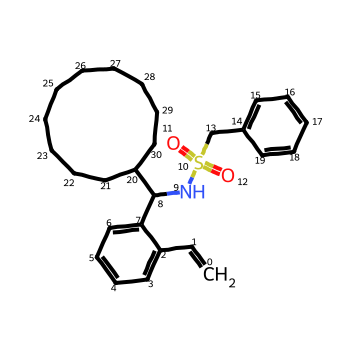 C=Cc1ccccc1C(NS(=O)(=O)Cc1ccccc1)C1CCCCCCCCCC1